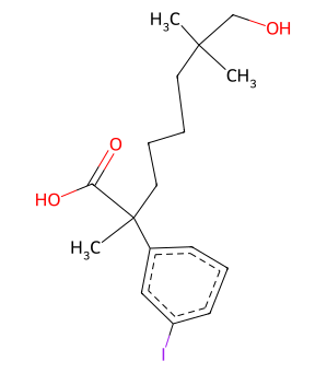 CC(C)(CO)CCCCC(C)(C(=O)O)c1cccc(I)c1